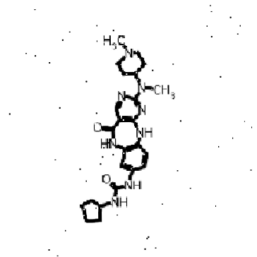 CN1CCC(N(C)c2ncc3c(n2)Nc2ccc(NC(=O)NC4CCCC4)cc2NC3=O)CC1